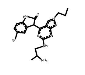 CCCn1cc2c(C3C(=O)Nc4ccc(Br)cc43)nc(NCC(C)N)nc2n1